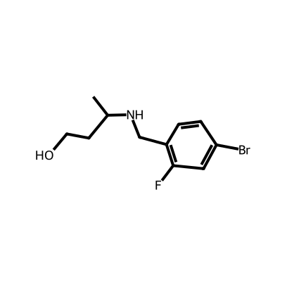 CC(CCO)NCc1ccc(Br)cc1F